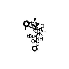 C=C[C@@H]1C[C@]1(NC(=O)[C@H](C)N(C)C(=O)C(NC(=O)OC1CCCC1)C(C)(C)C)P(=O)(O)Cc1c(C)cccc1C